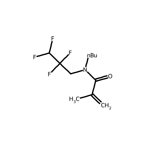 C=C(C)C(=O)N(CCCC)CC(F)(F)C(F)F